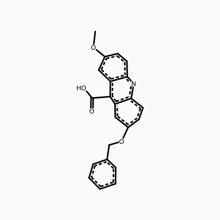 COc1ccc2nc3ccc(OCc4ccccc4)cc3c(C(=O)O)c2c1